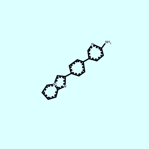 Nc1ccc(-c2ccc(-c3cn4ccccc4n3)cc2)cn1